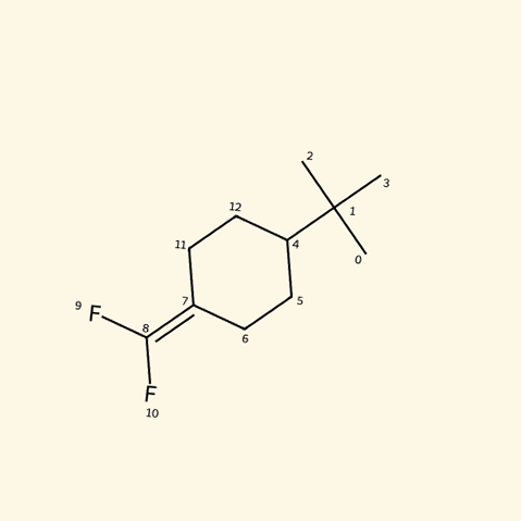 CC(C)(C)C1CCC(=C(F)F)CC1